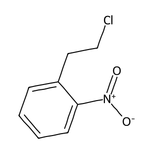 O=[N+]([O-])c1ccccc1CCCl